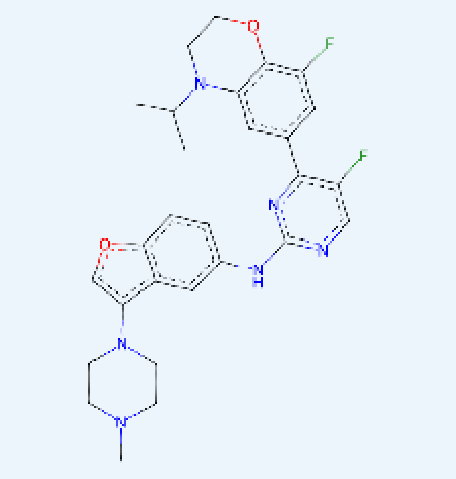 CC(C)N1CCOc2c(F)cc(-c3nc(Nc4ccc5occ(N6CCN(C)CC6)c5c4)ncc3F)cc21